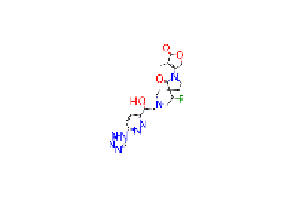 CC1=C(N2CCC3(CCN(CC(O)c4ccc(-n5cnnn5)nn4)CC3F)C2=O)COC1=O